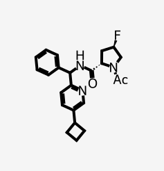 CC(=O)N1C[C@H](F)C[C@H]1C(=O)NC(c1ccccc1)c1ccc(C2CCC2)cn1